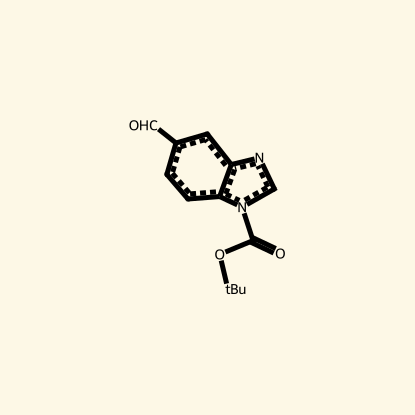 CC(C)(C)OC(=O)n1cnc2cc(C=O)ccc21